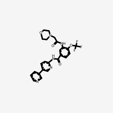 O=C(CN1CCOCC1)Nc1cc(C(=O)Nc2ccc(-c3cccnc3)cn2)ccc1OC(F)(F)F